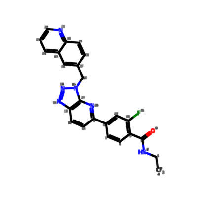 O=C(NCC(F)(F)F)c1ccc(-c2ccc3nnn(Cc4ccc5ncccc5c4)c3n2)cc1F